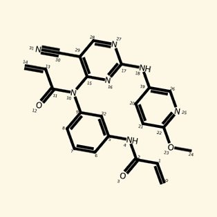 C=CC(=O)Nc1cccc(N(C(=O)C=C)c2nc(Nc3ccc(OC)nc3)ncc2C#N)c1